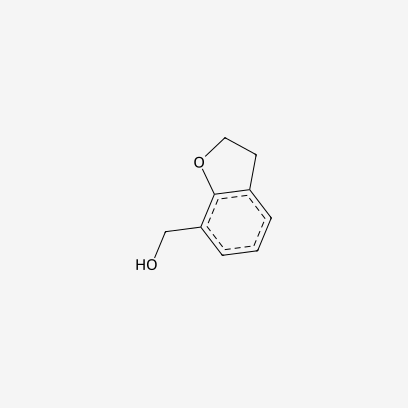 OCc1cccc2c1OCC2